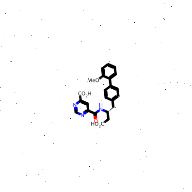 COc1ccccc1-c1ccc(C[C@H](CC(=O)O)NC(=O)c2cc(C(=O)O)ncn2)cc1